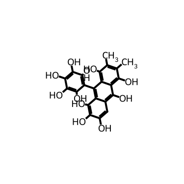 Cc1c(C)c(O)c2c(-c3c(O)c(O)c(O)c(O)c3O)c3c(O)c(O)c(O)cc3c(O)c2c1O